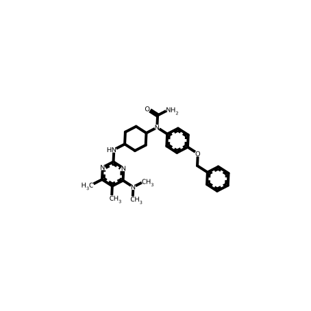 Cc1nc(NC2CCC(N(C(N)=O)c3ccc(OCc4ccccc4)cc3)CC2)nc(N(C)C)c1C